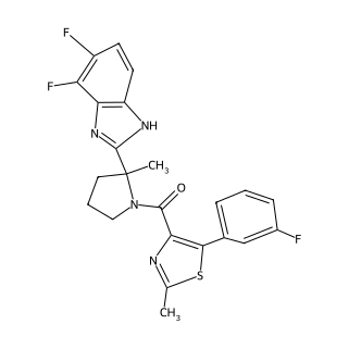 Cc1nc(C(=O)N2CCCC2(C)c2nc3c(F)c(F)ccc3[nH]2)c(-c2cccc(F)c2)s1